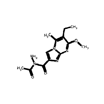 CCc1c(OC)nc2nc(C(=O)N(N)C(C)=O)cn2c1C